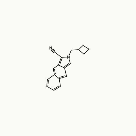 N#Cc1c2cc3ccccc3cc2cn1CC1CCC1